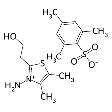 Cc1cc(C)c(S(=O)(=O)[O-])c(C)c1.Cc1sc(CCO)[n+](N)c1C